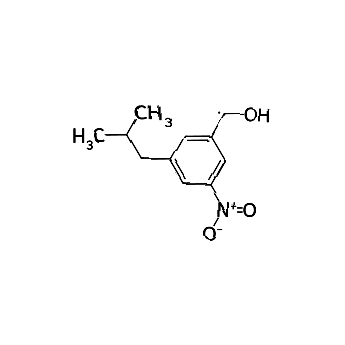 CC(C)Cc1cc([CH]O)cc([N+](=O)[O-])c1